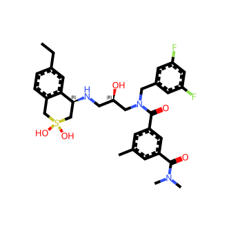 CCc1ccc2c(c1)[C@@H](NC[C@@H](O)CN(Cc1cc(F)cc(F)c1)C(=O)c1cc(C)cc(C(=O)N(C)C)c1)CS(O)(O)C2